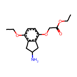 CCOC(=O)COc1ccc(OCC)c2c1CC(N)C2